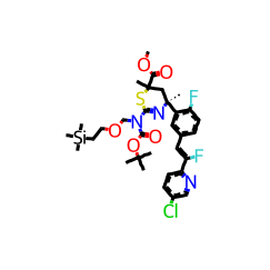 COC(=O)C1(C)C[C@@](C)(c2cc(/C=C(\F)c3ccc(Cl)cn3)ccc2F)N=C(N(COCC[Si](C)(C)C)C(=O)OC(C)(C)C)S1